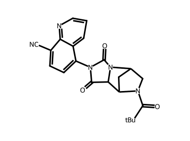 CC(C)(C)C(=O)N1CC2CC1C1C(=O)N(c3ccc(C#N)c4ncccc34)C(=O)N21